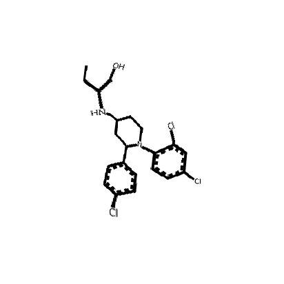 CCC(CO)NC1CCN(c2ccc(Cl)cc2Cl)C(c2ccc(Cl)cc2)C1